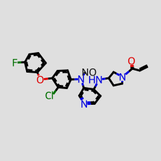 C=CC(=O)N1CCC(Nc2ccncc2N(N=O)c2ccc(Oc3cccc(F)c3)c(Cl)c2)C1